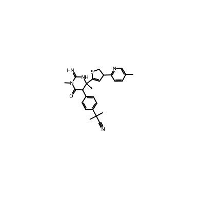 Cc1ccc(C2C=C([C@@]3(C)NC(=N)N(C)C(=O)C3c3ccc(C(C)(C)C#N)cc3)SC2)nc1